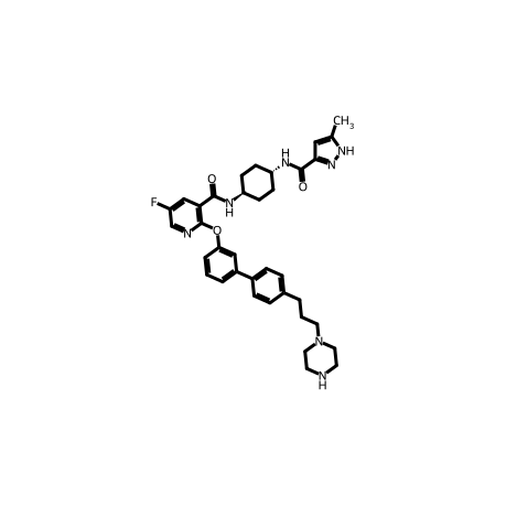 Cc1cc(C(=O)N[C@H]2CC[C@H](NC(=O)c3cc(F)cnc3Oc3cccc(-c4ccc(CCCN5CCNCC5)cc4)c3)CC2)n[nH]1